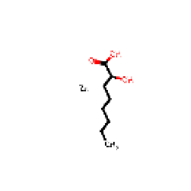 CCCCCCC(O)C(=O)O.[Zn]